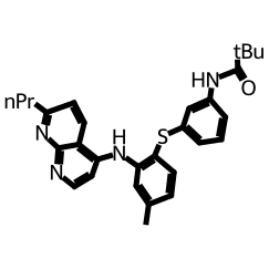 CCCc1ccc2c(Nc3cc(C)ccc3Sc3cccc(NC(=O)C(C)(C)C)c3)ccnc2n1